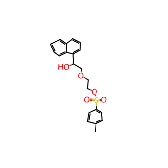 Cc1ccc(S(=O)(=O)OCCOCC(O)c2cccc3ccccc23)cc1